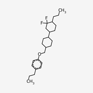 CCCc1ccc(OCC2CCC(C3CCC(CCC)C(F)(F)C3)CC2)cc1